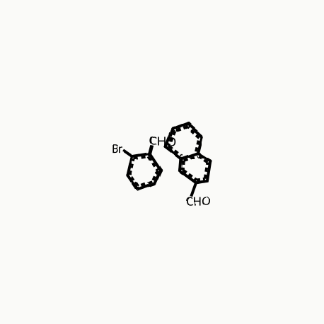 O=Cc1ccc2ccccc2c1.O=Cc1ccccc1Br